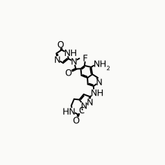 CN(C(=O)c1cc2cc(Nc3cc4n(n3)CC(=O)NCC4)ncc2c(N)c1F)c1cncc(=O)[nH]1